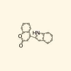 O=c1cc(-c2cc3ccccc3[nH]2)c2ccccc2o1